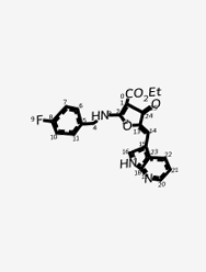 CCOC(=O)C1=C(NCc2ccc(F)cc2)OC(=Cc2c[nH]c3ncccc23)C1=O